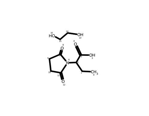 CCC(C(=O)O)N1C(=O)CCC1=O.OCCO